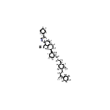 CCC(C)c1c(/C=C\C(C)c2ccccc2)ccc2c1NC(c1cccc(CCCc3ccc(CCC(C)c4ccccc4)c(C)c3)c1)C=C2